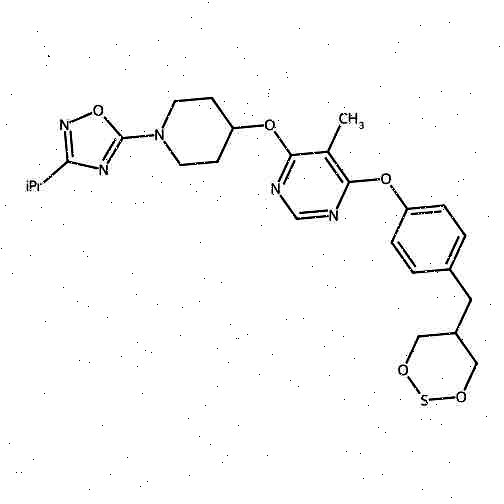 Cc1c(Oc2ccc(CC3COSOC3)cc2)ncnc1OC1CCN(c2nc(C(C)C)no2)CC1